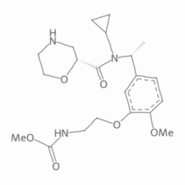 COC(=O)NCCOc1cc([C@@H](C)N(C(=O)[C@H]2CNCCO2)C2CC2)ccc1OC